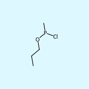 CCCOP(C)Cl